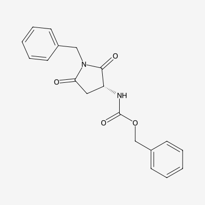 O=C(N[C@@H]1CC(=O)N(Cc2ccccc2)C1=O)OCc1ccccc1